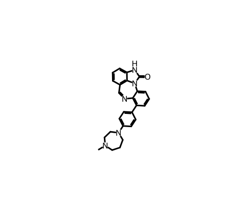 CN1CCCN(c2ccc(-c3cccc4c3N=Cc3cccc5[nH]c(=O)n-4c35)cc2)CC1